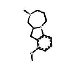 COc1cccc2c1CC1CN(C)CCCN21